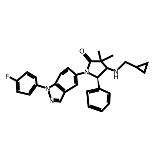 CC1(C)C(=O)N(c2ccc3c(cnn3-c3ccc(F)cc3)c2)[C@H](c2ccccc2)C1NCC1CC1